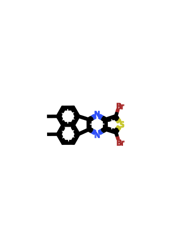 Cc1ccc2c3c(ccc(C)c13)-c1nc3c(Br)sc(Br)c3nc1-2